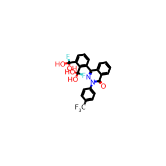 O=c1c2ccccc2c(-c2cccc(C(O)(O)F)c2C(O)(O)F)nn1-c1ccc(C(F)(F)F)cc1